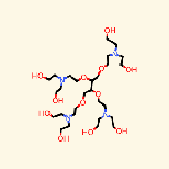 OCCN(CCO)CCOCC(OCCN(CCO)CCO)C(COCCN(CCO)CCO)OCCN(CCO)CCO